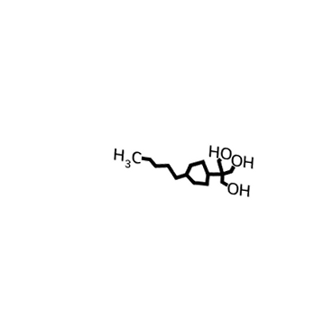 CCCCCC1CCC(C(CO)(CO)CO)CC1